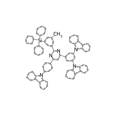 Cc1cc(-c2nc(-c3ccc(-n4c5ccccc5c5ccccc54)cc3)cc(-c3cc(-n4c5ccccc5c5ccccc54)cc(-n4c5ccccc5c5ccccc54)c3)n2)cc([Si](c2ccccc2)(c2ccccc2)c2ccccc2)c1